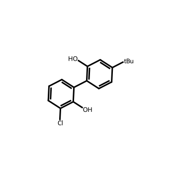 CC(C)(C)c1ccc(-c2cccc(Cl)c2O)c(O)c1